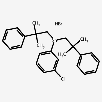 Br.CC(C)([CH2][Sn]([CH2]C(C)(C)c1ccccc1)[c]1cccc(Cl)c1)c1ccccc1